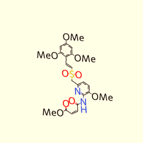 COC(=O)/C=C\C(=O)Nc1nc(CS(=O)(=O)/C=C/c2c(OC)cc(OC)cc2OC)ccc1OC